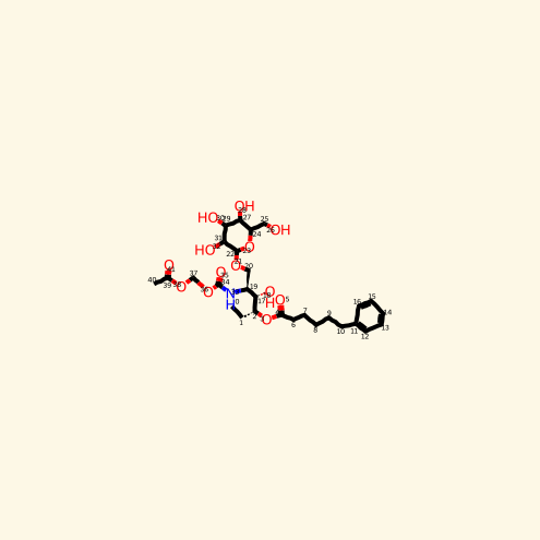 CC[C@@H](OC(=O)CCCCCc1ccccc1)[C@@H](O)[C@H](COC1OC(CO)C(O)C(O)C1O)NC(=O)OCOC(C)=O